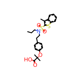 CCCN(CCc1ccc(OC(C)(C)C(=O)O)cc1)S(=O)(=O)c1sc2ccccc2c1C